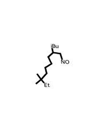 CCC(C)C(CCCCC(C)(C)CC)CN=O